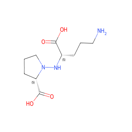 NCCC[C@H](NN1CCC[C@H]1C(=O)O)C(=O)O